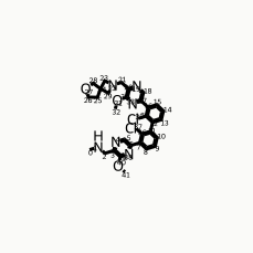 CNCc1ncc(-c2cccc(-c3cccc(-c4cnc(CN5CC6(CCOC6)C5)c(OC)n4)c3Cl)c2Cl)nc1OC